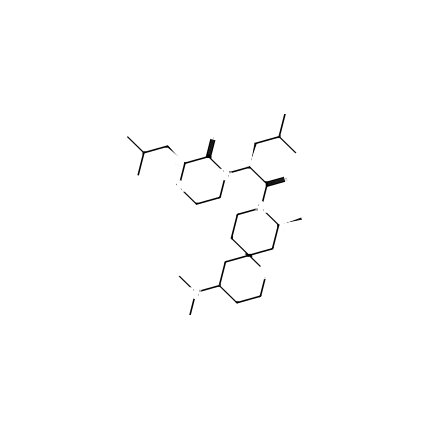 CC(C)C[C@@H]1NCCN([C@@H](CC(C)C)C(=O)N2CCC3(CC(N(C)C)CCO3)C[C@@H]2C)C1=O